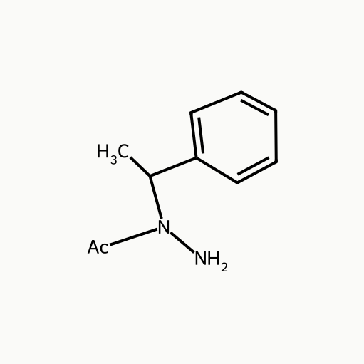 CC(=O)N(N)C(C)c1ccccc1